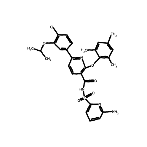 Cc1cc(C)c(Oc2nc(-c3ccc(Cl)c(OC(C)C)c3)ccc2C(=O)NS(=O)(=O)c2cccc(N)n2)c(C)c1